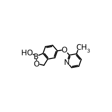 Cc1cccnc1Oc1ccc2c(c1)COB2O